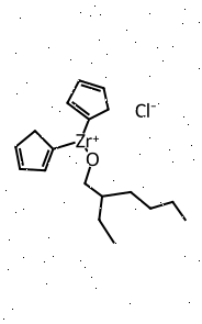 CCCCC(CC)C[O][Zr+]([C]1=CC=CC1)[C]1=CC=CC1.[Cl-]